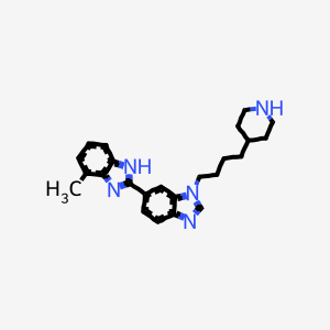 Cc1cccc2[nH]c(-c3ccc4ncn(CCCCC5CCNCC5)c4c3)nc12